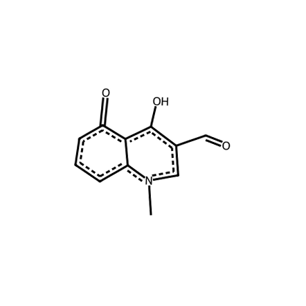 Cn1cc(C=O)c(O)c2c(=O)cccc1-2